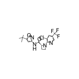 CC(C)(C)c1cc(NC(=O)[C@@H]2CCN2c2ncc(C(F)(F)F)cc2Cl)no1